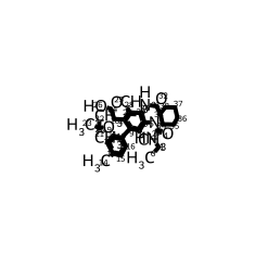 CCNC(=O)N1c2c(C)c(-c3ccc(C)cc3)c([C@H](OC(C)(C)C)C(=O)O)c(C)c2NC(=O)C12CCCCC2